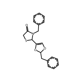 O=C1CSC(C2=COC(Cc3ccccc3)O2)N1Cc1ccccc1